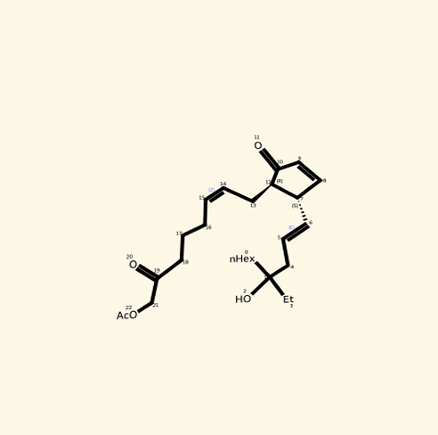 CCCCCCC(O)(CC)C/C=C/[C@H]1C=CC(=O)[C@@H]1C/C=C\CCCC(=O)COC(C)=O